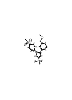 COCc1cccc(-c2nc(C(F)(F)F)cn2-c2ccc(S(C)(=O)=O)cc2)c1